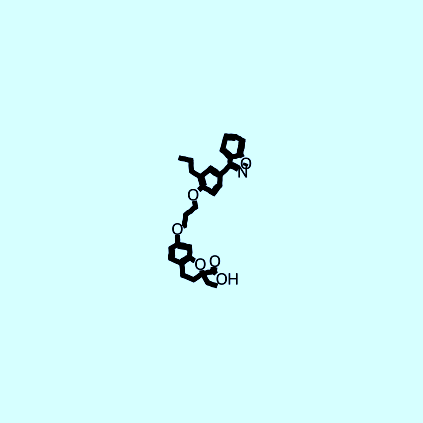 CCCc1cc(-c2noc3ccccc23)ccc1OCCCOc1ccc2c(c1)OC(CC)(C(=O)O)CC2